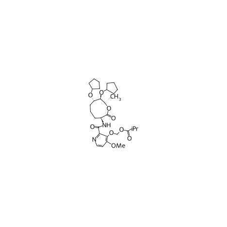 COc1ccnc(C(=O)N[C@H]2CCC[C@H](OC3CCCC3)[C@@H](OC3CCCC3)[C@H](C)OC2=O)c1OCOC(=O)C(C)C